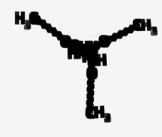 CCCCCCCCCCCCOCCCNc1nc(NCCCOCCCCCCCCCCCC)nc(NCCOCCOCCCCCCCCCCCC)n1